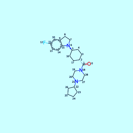 O=C([C@H]1CC[C@H](N2CCc3cc(F)ccc32)CC1)N1CCN(C2CCCC2)CC1